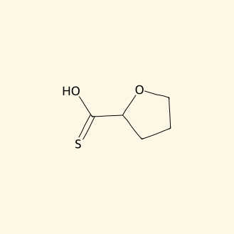 OC(=S)C1CCCO1